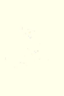 COC(=O)c1ccc2c3ccccc3n(C3CCN(S(C)(=O)=O)CC3)c2c1